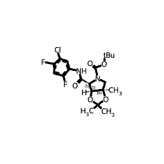 CC(C)(C)OC(=O)N1C[C@@]2(C)OC(C)(C)O[C@H]2[C@H]1C(=O)Nc1cc(Cl)c(F)cc1F